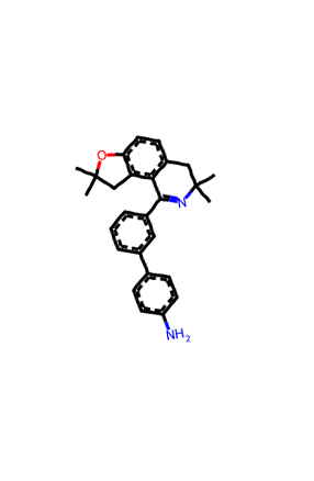 CC1(C)Cc2ccc3c(c2C(c2cccc(-c4ccc(N)cc4)c2)=N1)CC(C)(C)O3